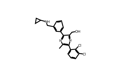 Cc1nc(-c2cccc(CNC3CC3)c2)c(CO)nc1-c1cccc(Cl)c1Cl